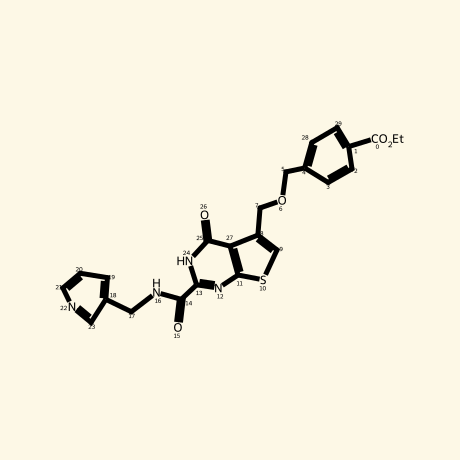 CCOC(=O)c1ccc(COCc2csc3nc(C(=O)NCc4cccnc4)[nH]c(=O)c23)cc1